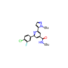 CC(C)(C)NC(=O)c1cc(-c2ccc(Cl)c(F)c2)nc(-c2ccnn2C(C)(C)C)c1